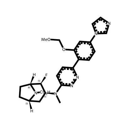 COCOc1cc(-n2ccnc2)ccc1-c1ccc(N(C)[C@H]2C[C@@H]3CC[C@H]([C@H]2F)N3C(=O)O)nn1